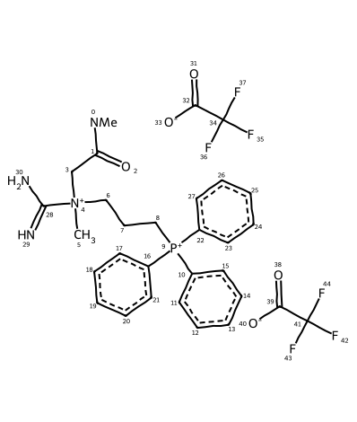 CNC(=O)C[N+](C)(CCC[P+](c1ccccc1)(c1ccccc1)c1ccccc1)C(=N)N.O=C([O-])C(F)(F)F.O=C([O-])C(F)(F)F